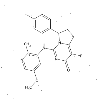 COc1cnc(C)c(Nc2nc(=O)c(F)c3n2C(c2ccc(F)cc2)CC3)c1